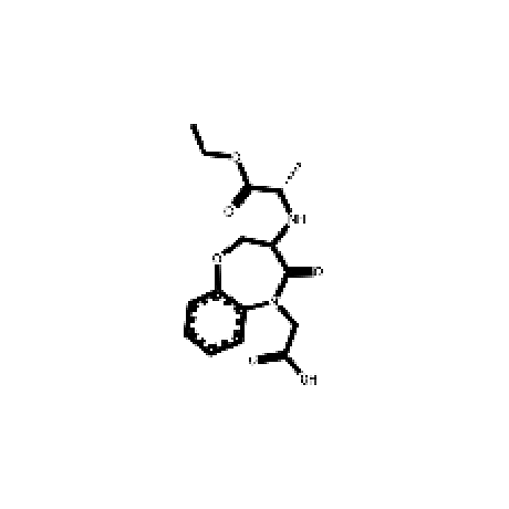 CCOC(=O)[C@H](C)NC1COc2ccccc2N(CC(=O)O)C1=O